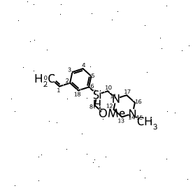 C=Cc1cccc([SiH](COC)CN2CCN(C)CC2)c1